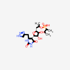 CCC(C)P(=O)(O)OC(C)C[C@H]1O[C@@H](c2c(Cc3c[nH]nn3)[nH]c(=O)[nH]c2=O)[C@@H](O)C1O